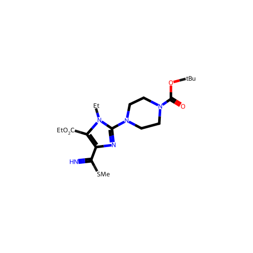 CCOC(=O)c1c(C(=N)SC)nc(N2CCN(C(=O)OC(C)(C)C)CC2)n1CC